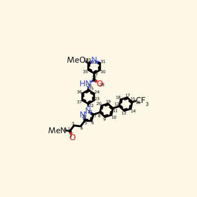 CNC(=O)CCc1cc(-c2ccc(-c3ccc(C(F)(F)F)cc3)cc2)n(-c2ccc(NC(=O)c3ccnc(OC)c3)cc2)n1